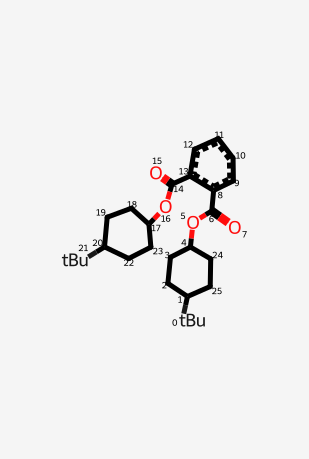 CC(C)(C)C1CCC(OC(=O)c2ccccc2C(=O)OC2CCC(C(C)(C)C)CC2)CC1